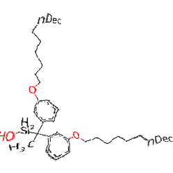 CCCCCCCCCCCCCCCCOc1cccc(C(C)([SiH2]O)c2cccc(OCCCCCCCCCCCCCCCC)c2)c1